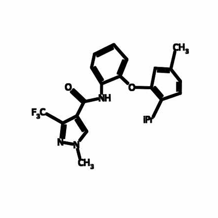 Cc1ccc(C(C)C)c(Oc2ccccc2NC(=O)c2cn(C)nc2C(F)(F)F)c1